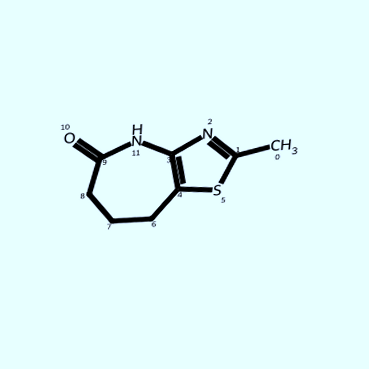 Cc1nc2c(s1)CCCC(=O)N2